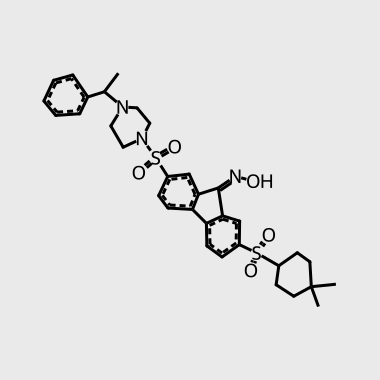 CC(c1ccccc1)N1CCN(S(=O)(=O)c2ccc3c(c2)/C(=N/O)c2cc(S(=O)(=O)C4CCC(C)(C)CC4)ccc2-3)CC1